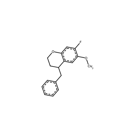 COc1cc2c(cc1F)OCCC2Cc1ccccc1